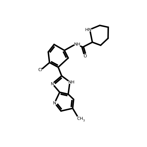 Cc1cnc2nc(-c3cc(NC(=O)C4CCCCN4)ccc3Cl)[nH]c2c1